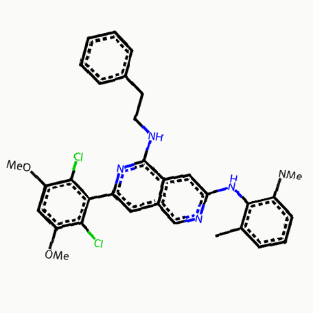 CNc1cccc(C)c1Nc1cc2c(NCCc3ccccc3)nc(-c3c(Cl)c(OC)cc(OC)c3Cl)cc2cn1